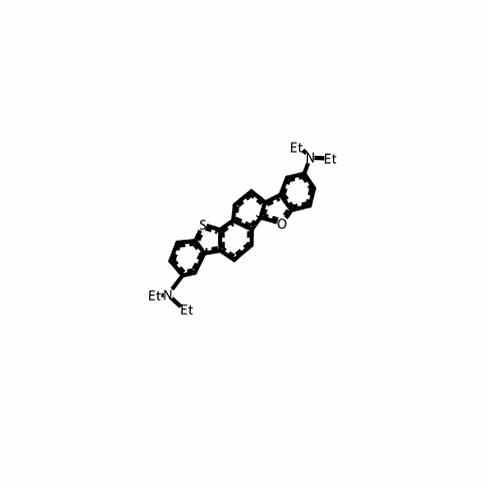 CCN(CC)c1ccc2oc3c(ccc4c3ccc3c5cc(N(CC)CC)ccc5sc34)c2c1